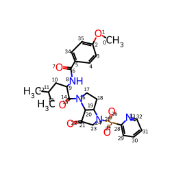 COc1ccc(C(=O)NC(CC(C)C)C(=O)N2CCC3C2C(=O)CN3S(=O)(=O)c2ccccn2)cc1